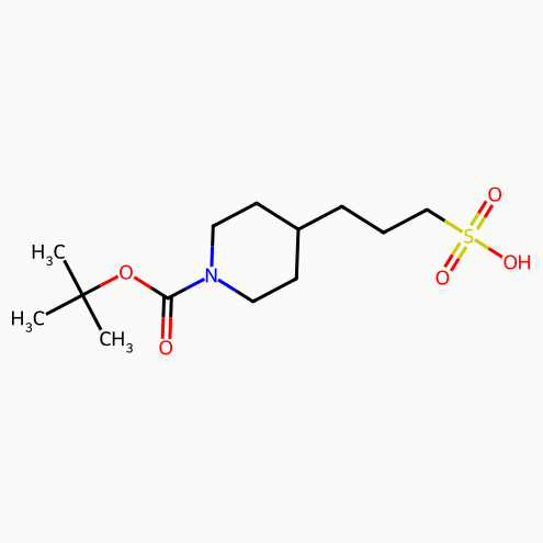 CC(C)(C)OC(=O)N1CCC(CCCS(=O)(=O)O)CC1